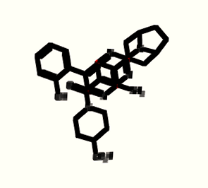 Nc1nnc(-c2ccccc2O)cc1N1CC2CCC(C1)N2c1ncc(C(=O)N2CCC(C(=O)O)CC2)cn1